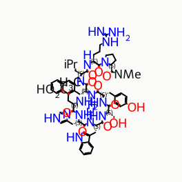 CNC(=O)[C@@H]1CCCN1C(=O)[C@H](CCCNC(=N)N)NC(=O)[C@H](CC(C)C)N(C)C(=O)[C@@H](Cc1ccc2ccccc2c1)NC(=O)[C@H](Cc1ccc(O)cc1)NC(=O)[C@H](CO)NC(=O)[C@H](Cc1c[nH]c2ccccc12)NC(=O)[C@H](Cc1c[nH]cn1)NC(=O)[C@@H](N)CCC(=O)O